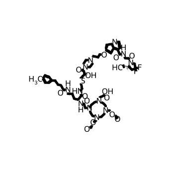 C#C[C@H]1CC(F)(F)CN1C(=O)CNC(=O)c1ccnc2ccc(OCCCN3CCN(C(=O)[C@H](O)CSCCNC(=O)C(CCCNC(=O)CCCc4ccc(C)cc4)NC(=O)CN4CCN(COC=O)CCN(COC=O)CCN(CC(=O)O)CC4)CC3)cc12